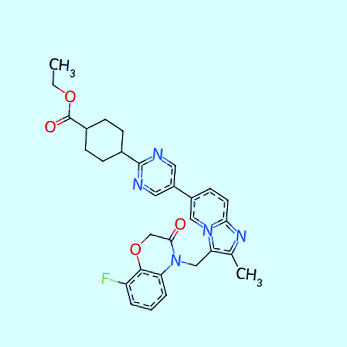 CCOC(=O)C1CCC(c2ncc(-c3ccc4nc(C)c(CN5C(=O)COc6c(F)cccc65)n4c3)cn2)CC1